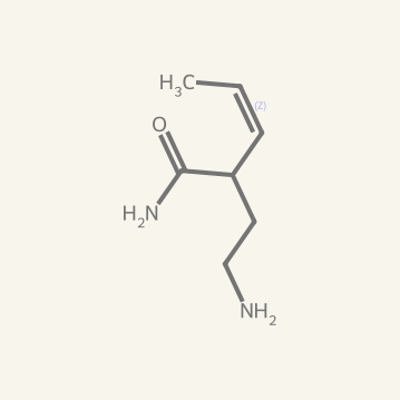 C/C=C\C(CCN)C(N)=O